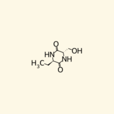 CC[C@H]1NC(=O)[C@H](CO)NC1=O